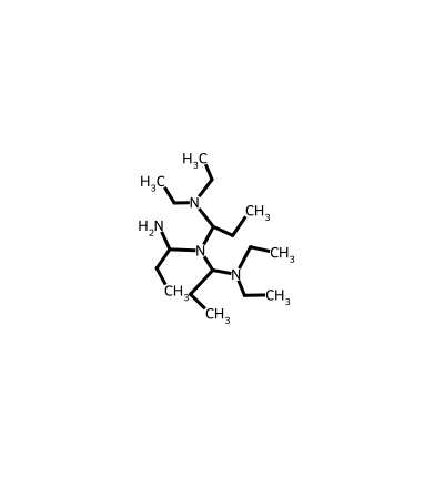 CCC(N)N(C(CC)N(CC)CC)C(CC)N(CC)CC